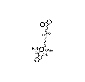 COc1cc(C(=O)N2c3ccccc3C[C@H]2C)c(N)cc1OCCCCNC(=O)OCC1c2ccccc2-c2ccccc21